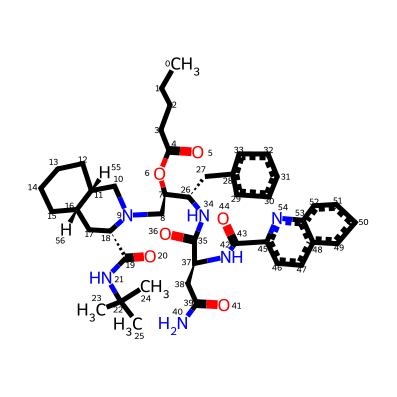 CCCCC(=O)O[C@H](CN1C[C@H]2CCCC[C@H]2C[C@H]1C(=O)NC(C)(C)C)[C@H](Cc1ccccc1)NC(=O)[C@H](CC(N)=O)NC(=O)c1ccc2ccccc2n1